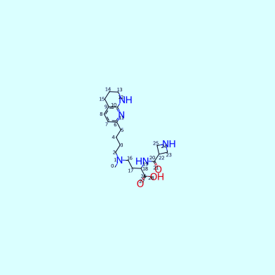 CN(CCCCc1ccc2c(n1)NCCC2)CCC(NC(=O)C1CNC1)C(=O)O